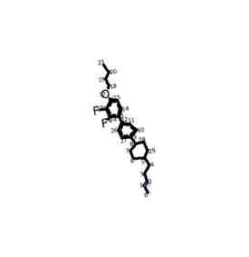 C/C=C/CCC1CCC(c2ccc(-c3ccc(OCCCC)c(F)c3F)cc2)CC1